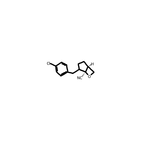 N#C[C@@]12OC[C@@H]1CCC2Cc1ccc(Cl)cc1